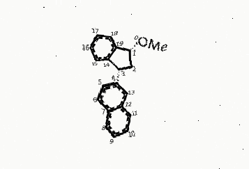 CO[C@@H]1C[C@H](c2ccc3ccccc3c2)c2ccccc21